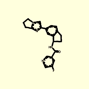 O=C(NC1CCc2ccc(-c3cn4c(n3)CCC4)cc21)c1cncc(F)c1